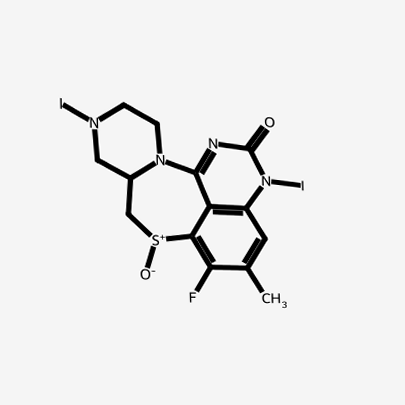 Cc1cc2c3c(nc(=O)n2I)N2CCN(I)CC2C[S+]([O-])c3c1F